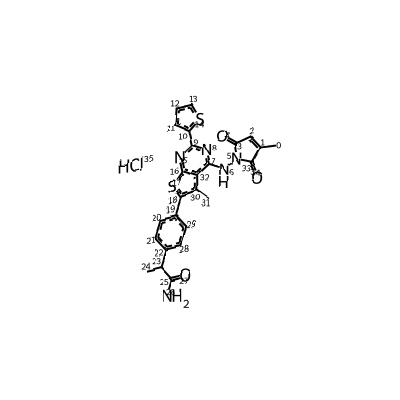 CC1=CC(=O)N(Nc2nc(-c3cccs3)nc3sc(-c4ccc(C(C)C(N)=O)cc4)c(C)c23)C1=O.Cl